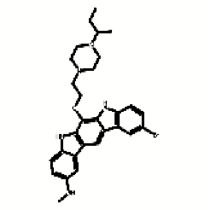 CBc1ccc2[nH]c3c(OCCN4CCN(C(C)CC)CC4)c4[nH]c5ccc(Br)cc5c4cc3c2c1